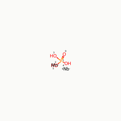 O=P(O)(O)O.[Mn].[Nb]